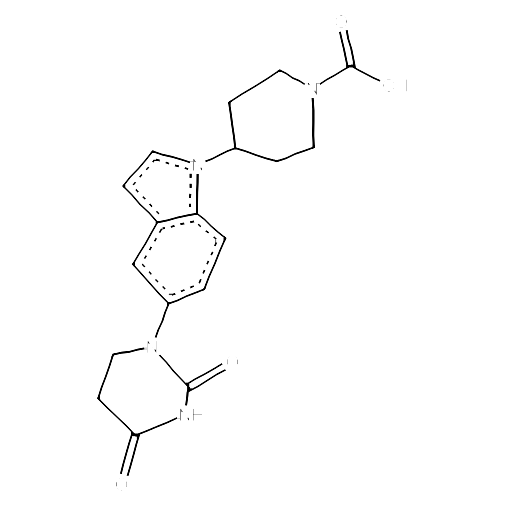 O=C1CCN(c2ccc3c(ccn3C3CCN(C(=O)O)CC3)c2)C(=O)N1